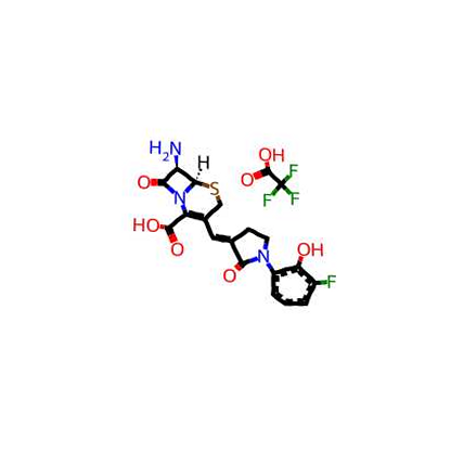 N[C@@H]1C(=O)N2C(C(=O)O)=C(/C=C3\CCN(c4cccc(F)c4O)C3=O)CS[C@H]12.O=C(O)C(F)(F)F